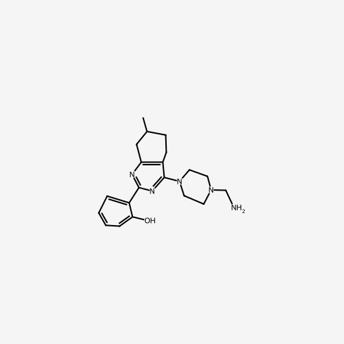 CC1CCc2c(nc(-c3ccccc3O)nc2N2CCN(CN)CC2)C1